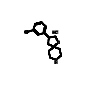 Cl.Clc1cccc(C2COC3(CCNCC3)C2)c1